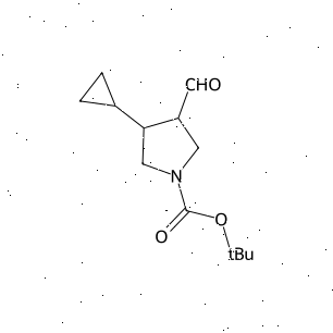 CC(C)(C)OC(=O)N1CC(C=O)C(C2CC2)C1